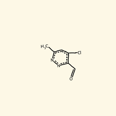 Cc1cc(Cl)c(C=O)nn1